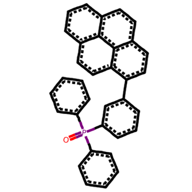 O=P(c1ccccc1)(c1ccccc1)c1cccc(-c2ccc3ccc4cccc5ccc2c3c45)c1